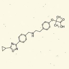 CC(C)(Oc1ccc(CCNCc2ccc(-c3noc(C4CC4)n3)cc2)cc1)C(=O)O